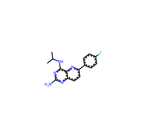 CC(C)Nc1nc(N)nc2ccc(-c3ccc(F)cc3)nc12